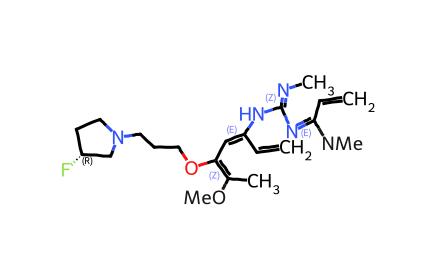 C=C/C(=C\C(OCCCN1CC[C@@H](F)C1)=C(/C)OC)NC(=N/C)/N=C(\C=C)NC